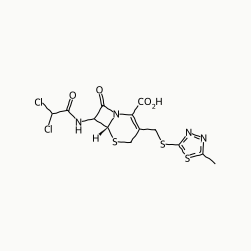 Cc1nnc(SCC2=C(C(=O)O)N3C(=O)C(NC(=O)C(Cl)Cl)[C@H]3SC2)s1